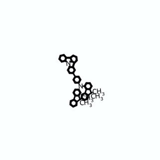 CC1(C)c2ccccc2-c2ccc(N(c3ccc(-c4ccc5c(c4)c4cccc6c7ccccc7n5c64)cc3)c3cccc4c3-c3ccccc3C4(C)C)cc21